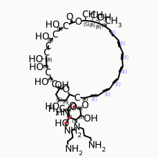 C[C@@H]1[C@H](O)[C@@H](C)/C=C/C=C/C=C/C=C/C=C/C=C/C=C/[C@H](O[C@@H]2O[C@H](C)[C@@H](O)[C@H](N(CCCN)CCCN)[C@@H]2O)CC2O[C@](O)(C[C@@H](O)C[C@@H](O)[C@H](O)CC[C@@H](O)C[C@@H](O)CC(=O)O[C@H]1C)C[C@H](O)[C@H]2C(=O)NCCN